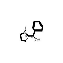 O[C@H](c1ccccc1)[C@@H]1CCCN1I